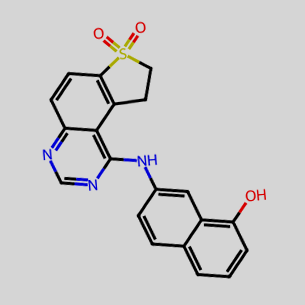 O=S1(=O)CCc2c1ccc1ncnc(Nc3ccc4cccc(O)c4c3)c21